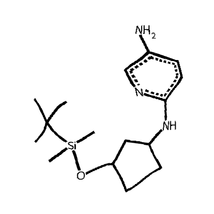 CC(C)(C)[Si](C)(C)OC1CCC(Nc2ccc(N)cn2)C1